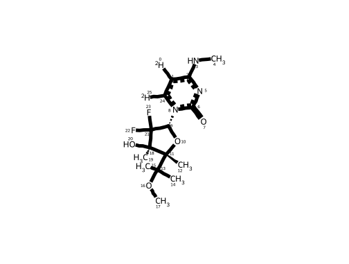 [2H]c1c(NC)nc(=O)n([C@@H]2O[C@](C)(C(C)(C)OC)[C@@](C)(O)C2(F)F)c1[2H]